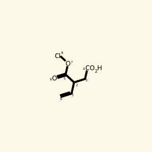 C=CC(CC(=O)O)C(=O)OCl